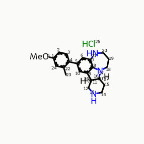 COc1ccc(-c2cc3c4c(c2)[C@@H]2CNCC[C@@H]2N4CCCN3)c(C)c1.Cl